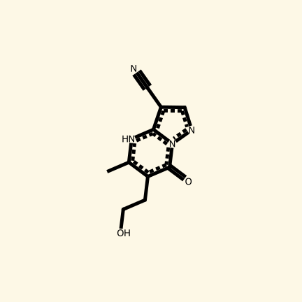 Cc1[nH]c2c(C#N)cnn2c(=O)c1CCO